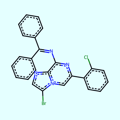 Clc1ccccc1-c1cn2c(Br)cnc2c(N=C(c2ccccc2)c2ccccc2)n1